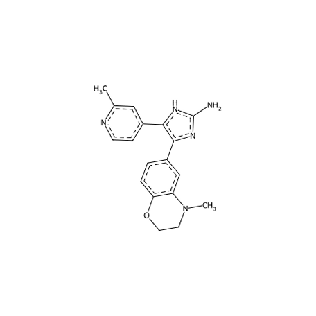 Cc1cc(-c2[nH]c(N)nc2-c2ccc3c(c2)N(C)CCO3)ccn1